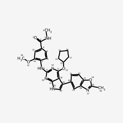 CNC(=O)c1ccc(Nc2nc(OC3CCCC3)c3c(-c4ccc5oc(C)nc5c4)c[nH]c3n2)c(OC)c1